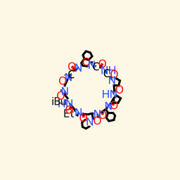 CCC1C(=O)NC([C@@H](C)CC)C(=O)N(C)CC(=O)N(C)CC(=O)N(C)C(CC2CCCCC2)C(=O)N(C)CC(=O)NCC(=O)N2CCCC2C(=O)NC2(CCCC2)C(=O)N(C)C(C2CCCCC2)C(=O)N(C)C(C(=O)N2CCCCC2)CC(=O)N1C